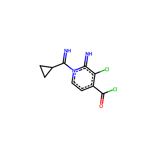 N=C(C1CC1)n1ccc(C(=O)Cl)c(Cl)c1=N